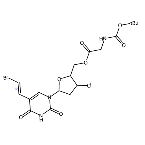 CC(C)(C)OC(=O)NCC(=O)OCC1OC(n2cc(/C=C/Br)c(=O)[nH]c2=O)CC1Cl